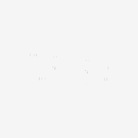 Cc1ccc(C(C)(C)C)cc1N1C(=O)c2ccc3c4c(ccc(c24)C1=O)C(=O)N(C(CO)CO)C3=O